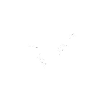 COC(=O)CCCC(=O)Oc1ccc(C(=O)OCCCC(C)C2CCC(OC(=O)c3ccc(OC(=O)CCCC(=O)OC)cc3)CC2)cc1